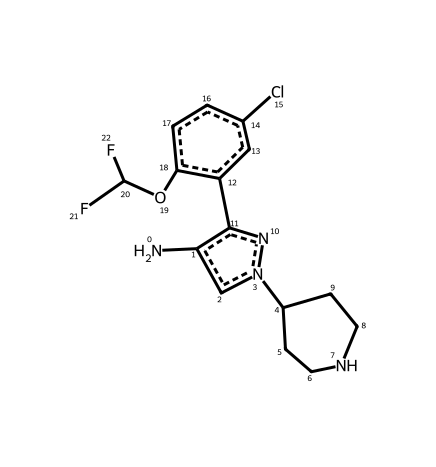 Nc1cn(C2CCNCC2)nc1-c1cc(Cl)ccc1OC(F)F